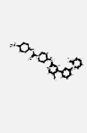 O=CC1CCC(OC(=O)N2CCC(Nc3ncc(F)c(-c4cccc(-n5ccccc5=O)c4)n3)CC2)CC1